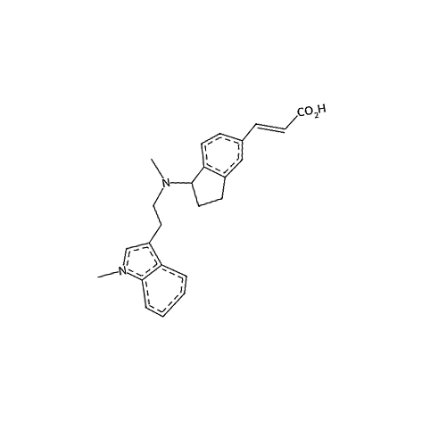 CN(CCc1cn(C)c2ccccc12)C1CCc2cc(C=CC(=O)O)ccc21